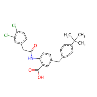 CC(C)(C)c1ccc(Cc2ccc(NC(=O)Cc3ccc(Cl)c(Cl)c3)c(C(=O)O)c2)cc1